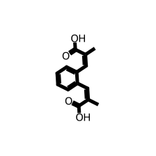 CC(=Cc1ccccc1C=C(C)C(=O)O)C(=O)O